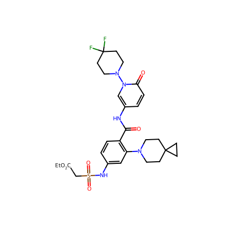 CCOC(=O)CS(=O)(=O)Nc1ccc(C(=O)Nc2ccc(=O)n(N3CCC(F)(F)CC3)c2)c(N2CCC3(CC2)CC3)c1